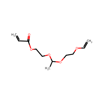 C=COCCOC(C)OCCOC(=O)C=C